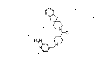 Nc1cc(CN2CCC(C(=O)N3CCC4(CC3)Cc3ccccc3C4)CC2)ccn1